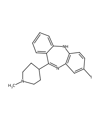 CN1CCC(C2=Nc3cc(I)ccc3Nc3ccccc32)CC1